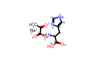 CC(=O)C(=O)[O-].NC(Cc1c[nH]cn1)C(=O)O.[Na+]